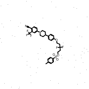 Cc1ccc(S(=O)(=O)OCCC(F)(F)CCOc2ccc(C3CCN(c4ccc(C#N)c(C(F)(F)F)c4)CC3)cc2)cc1